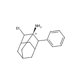 CCC1C2CC3CC(C2)C(c2ccccc2)[C@]1(N)C3